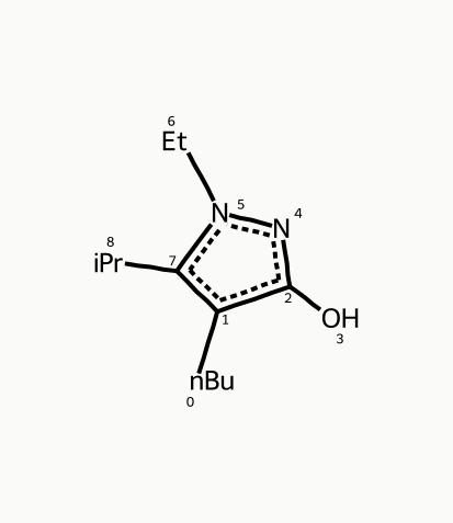 CCCCc1c(O)nn(CC)c1C(C)C